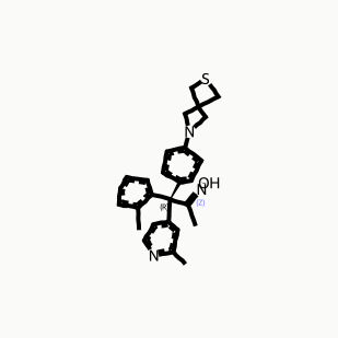 C/C(=N/O)[C@](c1ccc(N2CC3(CSC3)C2)cc1)(c1ccnc(C)c1)c1ccccc1C